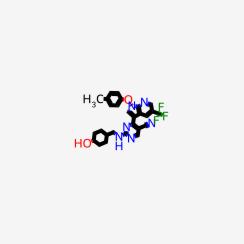 Cc1ccc(On2cc(-c3nc(NCC4CCC(O)CC4)ncc3C#N)c3cc(C(F)(F)F)cnc32)cc1